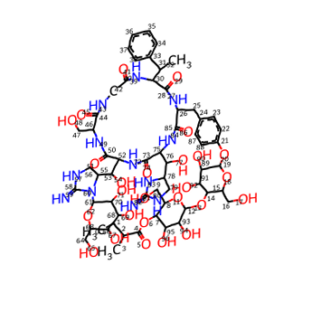 CCC(C)C(=O)OC1C(CO)OC(OC2C(CO)OC(Oc3ccc(CC4NC(=O)C(C(C)c5ccccc5)NC(=O)CNC(=O)C(CO)NC(=O)C(C(O)C5CNC(=N)N5C5OC(CO)C(O)C(O)C5O)NC(=O)C(C(O)C5CNC(=N)N5)NC4=O)cc3)C(O)C2O)C(O)C1O